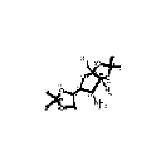 CC1(C)O[C@H]2O[C@H]([C@H]3COC(C)(C)O3)[C@@H](N)[C@H]2O1